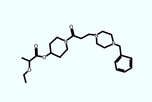 CCOC(C)C(=O)OC1CCN(C(=O)CCN2CCN(Cc3ccccc3)CC2)CC1